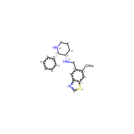 COc1cc2scnc2cc1CN[C@H]1CCCN[C@H]1c1ccccc1